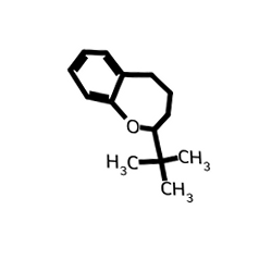 CC(C)(C)C1CCCc2ccccc2O1